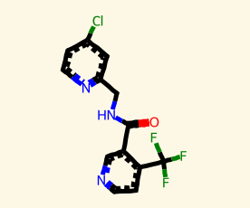 O=C(NCc1cc(Cl)ccn1)c1cnccc1C(F)(F)F